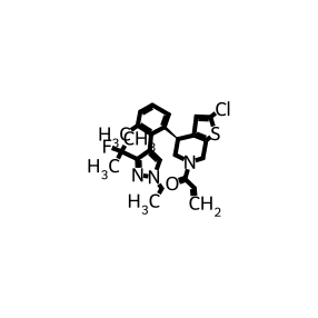 C=CC(=O)N1Cc2sc(Cl)cc2[C@H](c2cccc(C)c2-c2cn(CC)nc2C(C)(C)F)C1